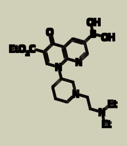 CCOC(=O)c1cn(C2CCCN(CCN(CC)CC)C2)c2ncc(B(O)O)cc2c1=O